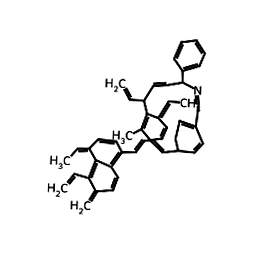 C=Cc1c(=C)ccc2c(/C=C/C=C\C(=C/C)C3=C(C)/C=C\C4C=CC(=CC4)/C=N/C(c4ccccc4)C=CC/3C=C)cc/c(=C/C)c12